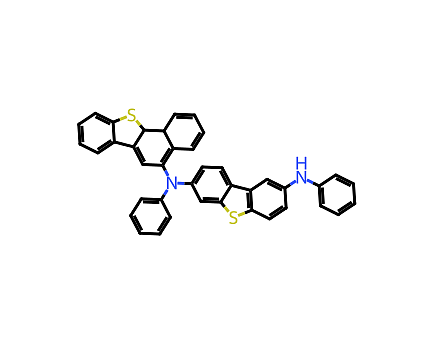 C1=CC2=C(N(c3ccccc3)c3ccc4c(c3)sc3ccc(Nc5ccccc5)cc34)C=C3c4ccccc4SC3C2C=C1